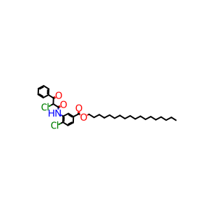 CCCCCCCCCCCCCCCCCCOC(=O)c1ccc(Cl)c(NC(=O)C(Cl)C(=O)c2ccccc2)c1